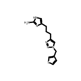 Nc1nc(CCCc2cn(Cc3ccsc3)nn2)c[nH]1